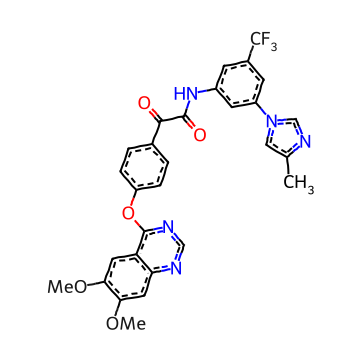 COc1cc2ncnc(Oc3ccc(C(=O)C(=O)Nc4cc(-n5cnc(C)c5)cc(C(F)(F)F)c4)cc3)c2cc1OC